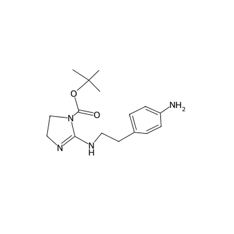 CC(C)(C)OC(=O)N1CCN=C1NCCc1ccc(N)cc1